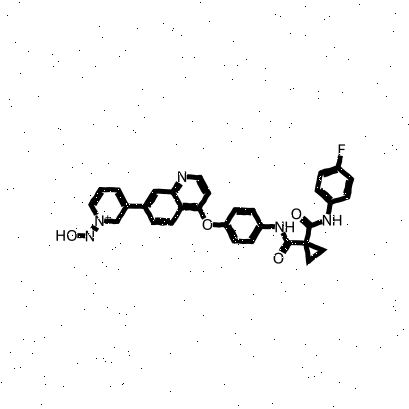 O=C(Nc1ccc(F)cc1)C1(C(=O)Nc2ccc(Oc3ccnc4cc(C5=CC=C[N+](=NO)C5)ccc34)cc2)CC1